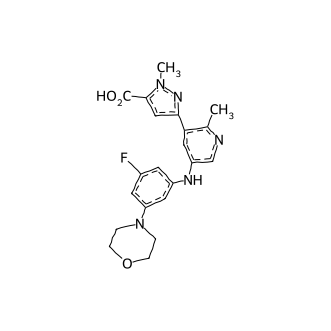 Cc1ncc(Nc2cc(F)cc(N3CCOCC3)c2)cc1-c1cc(C(=O)O)n(C)n1